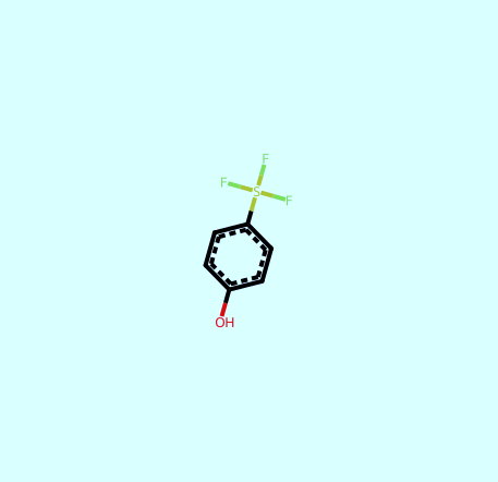 Oc1ccc(S(F)(F)F)cc1